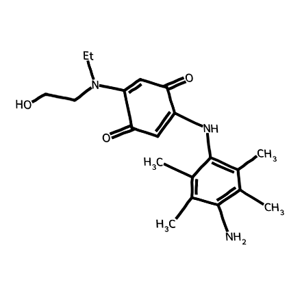 CCN(CCO)C1=CC(=O)C(Nc2c(C)c(C)c(N)c(C)c2C)=CC1=O